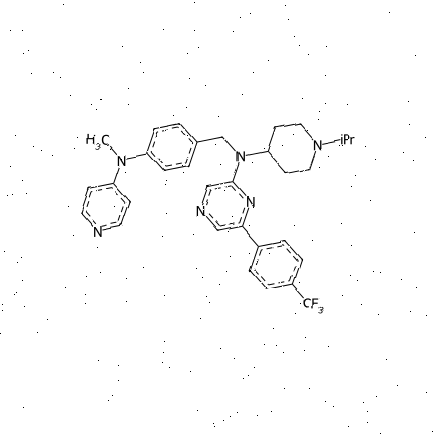 CC(C)N1CCC(N(Cc2ccc(N(C)c3ccncc3)cc2)c2cncc(-c3ccc(C(F)(F)F)cc3)n2)CC1